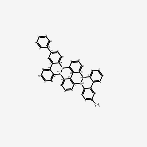 Cc1ccc2c(c1)-c1ccccc1N1B2c2cccc3c2-c2c(cccc21)B1c2ccc(-c4ccccc4)cc2-c2ccccc2N13